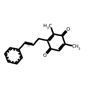 CC1=CC(=O)C(C/C=C/c2ccccc2)=C(C)C1=O